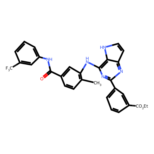 CCOC(=O)c1cccc(-c2nc(Nc3cc(C(=O)Nc4cccc(C(F)(F)F)c4)ccc3C)c3[nH]ccc3n2)c1